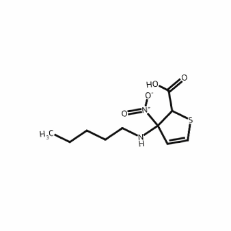 CCCCCNC1([N+](=O)[O-])C=CSC1C(=O)O